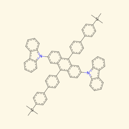 C[Si](C)(C)c1ccc(-c2ccc(-c3c4ccc(-n5c6ccccc6c6ccccc65)cc4c(-c4ccc(-c5ccc([Si](C)(C)C)cc5)cc4)c4ccc(-n5c6ccccc6c6ccccc65)cc34)cc2)cc1